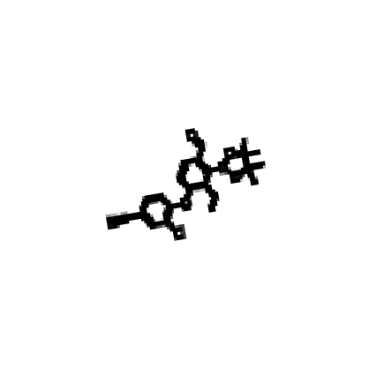 CCc1c(Oc2ccc(C#N)cc2Cl)ccc(C=O)c1B1OC(C)(C)C(C)(C)O1